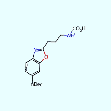 CCCCCCCCCCc1ccc2nc(CCCNC(=O)O)oc2c1